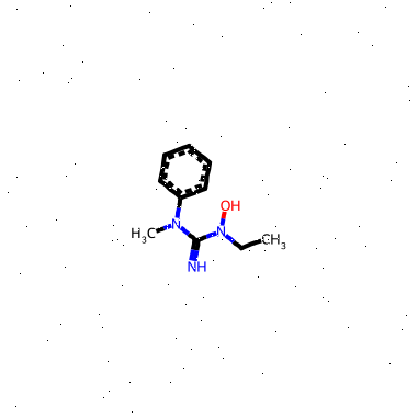 CCN(O)C(=N)N(C)c1ccccc1